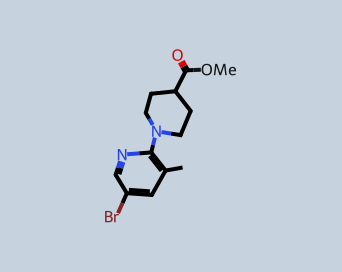 COC(=O)C1CCN(c2ncc(Br)cc2C)CC1